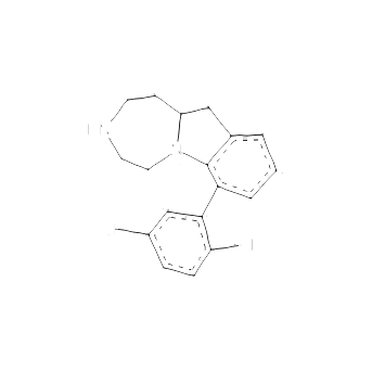 Clc1ccc(Cl)c(-c2cccc3c2N2CCNCCC2C3)c1